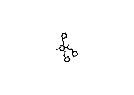 Cc1cc(OCc2ccccc2)c(C(=O)C=CC2=CCCCC2)c(OCc2ccccc2)c1